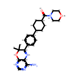 CC1(C)Oc2ncnc(N)c2N=C1c1ccc(C2CCC(C(=O)N3CCOCC3)CC2)cc1